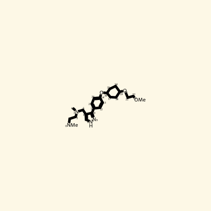 CNCCN(C)Cc1c[nH]nc1-c1ccc(OC2CCC(OCCOC)CC2)cc1